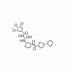 COC1=CC(C(=O)NC(O)Nc2cccc(NC(=O)c3ccc(-c4ccccc4)cc3)c2)=CC(OC)C1OC